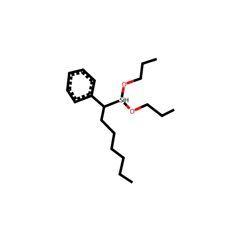 CCCCCCC(c1ccccc1)[SiH](OCCC)OCCC